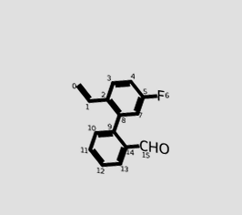 C=Cc1ccc(F)cc1-c1ccccc1C=O